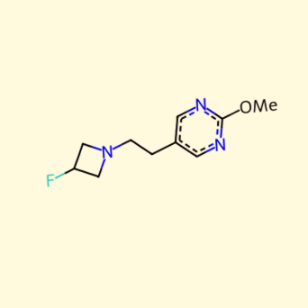 COc1ncc(CCN2CC(F)C2)cn1